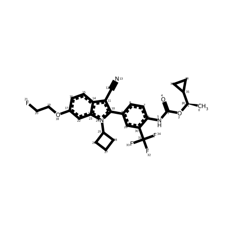 C[C@@H](OC(=O)Nc1ccc(-c2c(C#N)c3ccc(OCCF)cc3n2C2CCC2)cc1C(F)(F)F)C1CC1